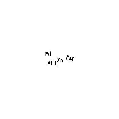 [Ag].[AlH3].[Pd].[Zn]